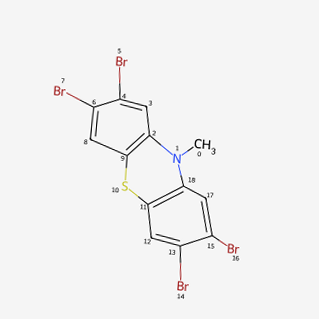 CN1c2cc(Br)c(Br)cc2Sc2cc(Br)c(Br)cc21